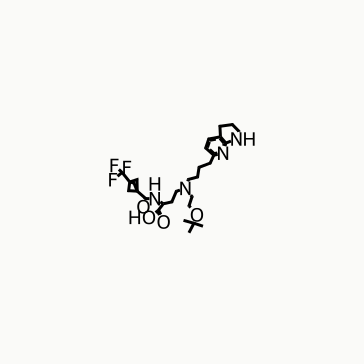 CC(C)(C)OCCN(CCCCc1ccc2c(n1)NCCC2)CCC(NC(=O)C12CC(C(F)(F)F)(C1)C2)C(=O)O